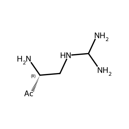 CC(=O)[C@H](N)CNC(N)N